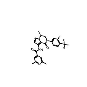 Cc1cc(C(=O)Nc2cnn3c2C(=O)N(c2ccc(C(F)(F)F)c(F)c2)C[C@@H]3C)cc(C)n1